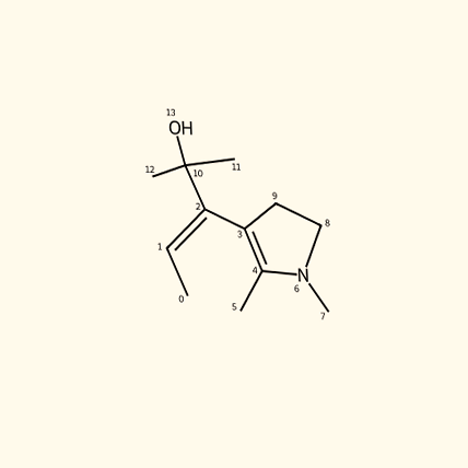 C/C=C(\C1=C(C)N(C)CC1)C(C)(C)O